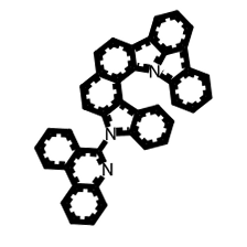 c1ccc2c(c1)nc(-n1c3ccccc3c3c4c(ccc5c6cccc7c8ccccc8n(c76)c54)ccc31)c1ccccc12